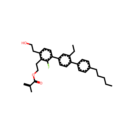 C=C(C)C(=O)OCCc1c(CCO)ccc(-c2ccc(-c3ccc(CCCCC)cc3)c(CC)c2)c1F